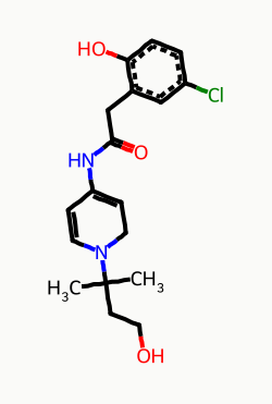 CC(C)(CCO)N1C=CC(NC(=O)Cc2cc(Cl)ccc2O)=CC1